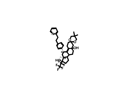 CC1(C)COC2(CCC3=C4C(CCC3(O)C2)C2CC[C@@](O)(C(F)(F)C(F)(F)F)[C@@]2(C)C[C@@H]4c2ccc(CCc3ccccn3)cc2)OC1